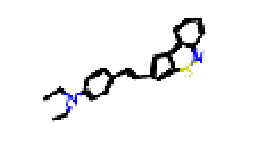 CCN(CC)c1ccc(C=Cc2cc3snc4ccccc4c-3c2)cc1